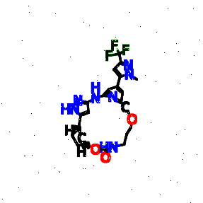 Cn1nc(C(F)(F)F)cc1-c1cc2nc(c1)Nc1cc([nH]n1)[C@H]1CC[C@H](C1)OC(=O)NCCCOC2